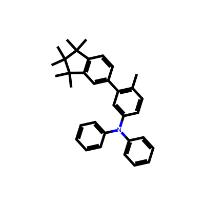 Cc1ccc(N(c2ccccc2)c2ccccc2)cc1-c1ccc2c(c1)C(C)(C)C(C)(C)C2(C)C